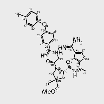 COC[C@@]1(F)C[C@@H](C(=O)N[C@H](C)c2cc(C(=N)N)cs2)N(C(=O)CNC(=N)c2ccc(Oc3ccc(F)cc3)cc2)C1